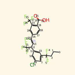 CCCC(F)(F)c1cc(Cl)cc(C(/C=C(\F)c2ccc(C(=O)O)c(C(F)(F)F)c2)C(F)(F)F)c1